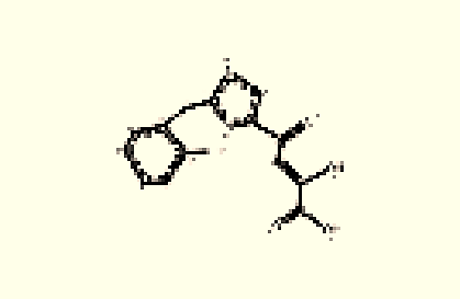 O=C(O)C(O)=CC(=O)c1csc(Cc2ccccc2F)n1